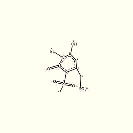 CCn1c(O)cc(CS(=O)(=O)O)c(S(C)(=O)=O)c1=O